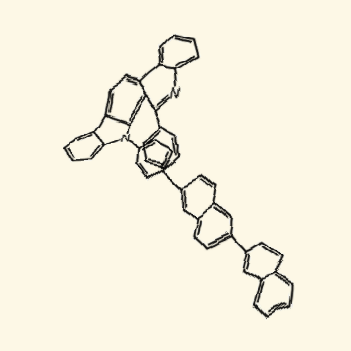 c1ccc(-c2nc3ccccc3c3ccc4c5ccccc5n(-c5ccc(-c6ccc7cc(-c8ccc9ccccc9c8)ccc7c6)cc5)c4c23)cc1